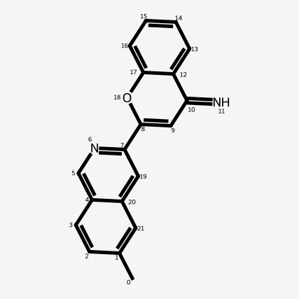 Cc1ccc2cnc(-c3cc(=N)c4ccccc4o3)cc2c1